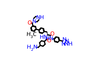 Cc1ccc(C(=O)N2CCNCC2)cc1-c1ccc(C[C@H](NC(=O)C2CCC(CN)CC2)C(=O)Nc2ccc(-c3nn[nH]n3)cc2)cc1